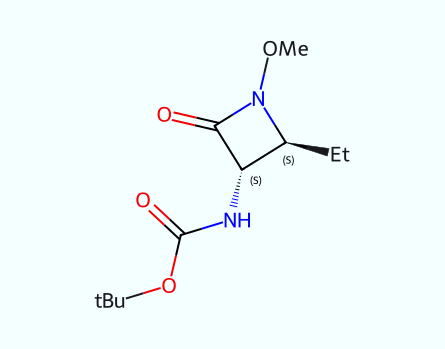 CC[C@H]1[C@H](NC(=O)OC(C)(C)C)C(=O)N1OC